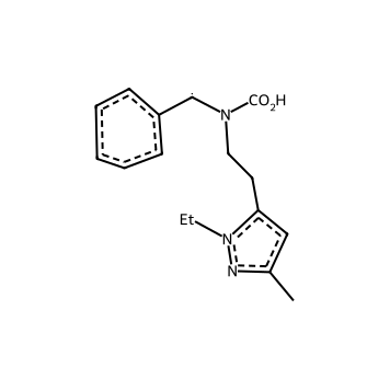 CCn1nc(C)cc1CCN([CH]c1ccccc1)C(=O)O